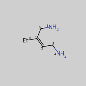 CCC(=CCN)CN